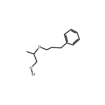 [CH2]C(COCC)OCCCc1ccccc1